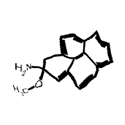 COC1(N)C=c2ccc3cccc4ccc(c2c43)C1